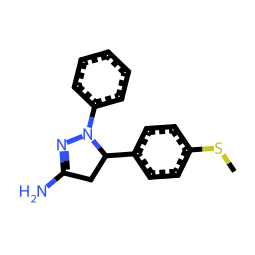 CSc1ccc(C2CC(N)=NN2c2ccccc2)cc1